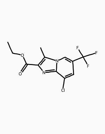 CCOC(=O)c1nc2c(Cl)cc(C(F)(F)F)cn2c1C